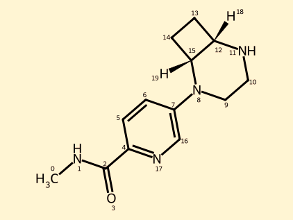 CNC(=O)c1ccc(N2CCN[C@H]3CC[C@H]32)cn1